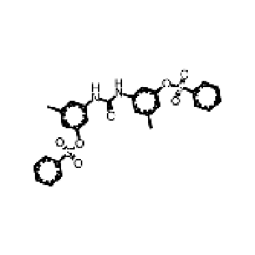 Cc1cc(NC(=O)Nc2cc(C)cc(OS(=O)(=O)c3ccccc3)c2)cc(OS(=O)(=O)c2ccccc2)c1